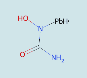 NC(=O)[N](O)[PbH]